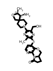 Cc1nc(N2CCC3(CC2)CO[C@@H](C)[C@H]3N)c(CO)nc1Sc1ccnc2c1OCC1CCC(=O)N21